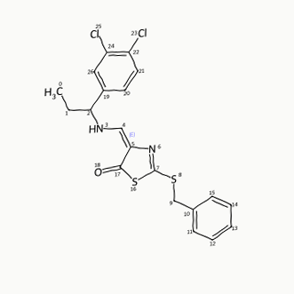 CCC(N/C=C1/N=C(SCc2ccccc2)SC1=O)c1ccc(Cl)c(Cl)c1